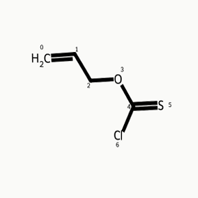 C=CCOC(=S)Cl